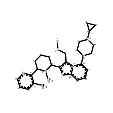 CCOCc1c(C2CCCC(c3ncccc3C)N2C)nc2cccc(N3CCN(C4CC4)CC3)n12